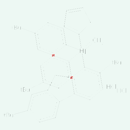 Cl.Cl.[CH2]=[Hf]([C]1=CC=CC1)([c]1ccc(C(C)(C)C)cc1)([c]1ccc(C(C)(C)C)cc1)[c]1c(C(C)(C)C)ccc2c1Cc1cc(C(C)(C)C)ccc1-2